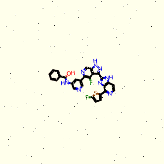 OC(Nc1cncc(-c2ncc3[nH]nc(-c4nc5c(-c6ccc(F)s6)nccc5[nH]4)c3c2F)c1)c1ccccc1